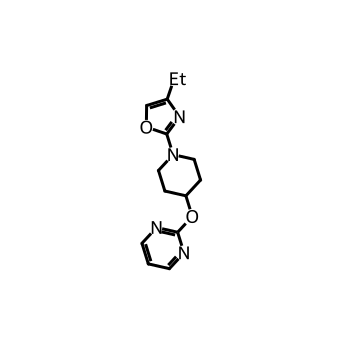 CCc1coc(N2CCC(Oc3ncccn3)CC2)n1